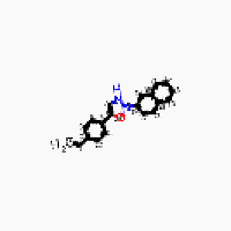 C=Cc1ccc(C2=CNN(c3ccc4ccccc4c3)O2)cc1